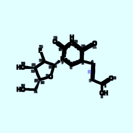 O=C(O)/C=C/c1cn([C@@H]2O[C@H](CO)[C@@H](O)C2F)c(=O)[nH]c1=O